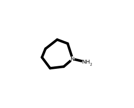 NN1CCCCCC1